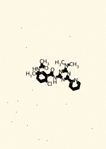 CC(=O)NC1(C)C=C(C(=O)Nc2nc(-c3ccccn3)nc(N(C)C)n2)C(Cl)=CC1